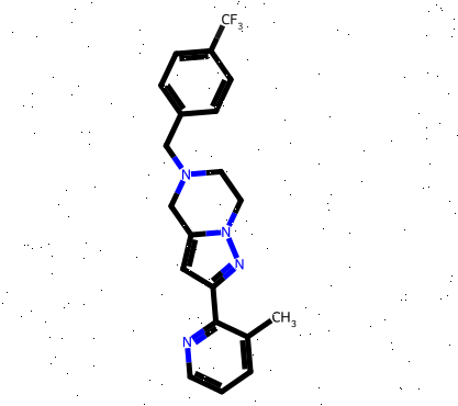 Cc1cccnc1-c1cc2n(n1)CCN(Cc1ccc(C(F)(F)F)cc1)C2